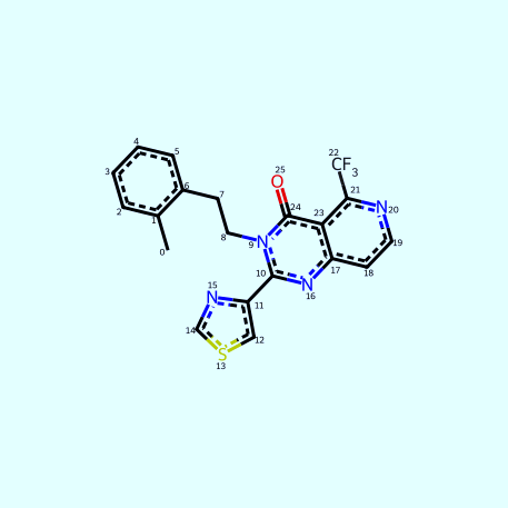 Cc1ccccc1CCn1c(-c2cscn2)nc2ccnc(C(F)(F)F)c2c1=O